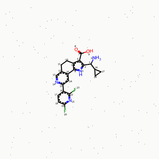 NC(c1[nH]c2c(c1C(=O)O)CCc1cnc(-c3ccc(F)nc3F)cc1-2)C1CC1